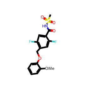 COc1ccccc1OCc1cc(F)c(C(=O)NS(C)(=O)=O)cc1F